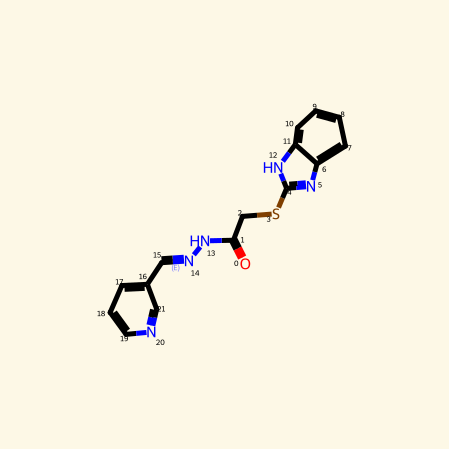 O=C(CSc1nc2ccccc2[nH]1)N/N=C/c1cccnc1